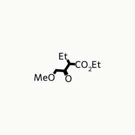 CCOC(=O)C(CC)C(=O)COC